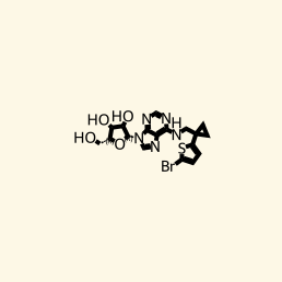 OC[C@H]1O[C@@H](n2cnc3c(NCC4(c5ccc(Br)s5)CC4)ncnc32)C(O)C1O